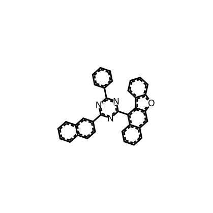 c1ccc(-c2nc(-c3ccc4ccccc4c3)nc(-c3c4ccccc4cc4oc5ccccc5c34)n2)cc1